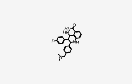 CN(C)Cc1ccc(C2Nc3cccc4c3C(NNC4=O)C2c2ccc(F)cc2)cc1